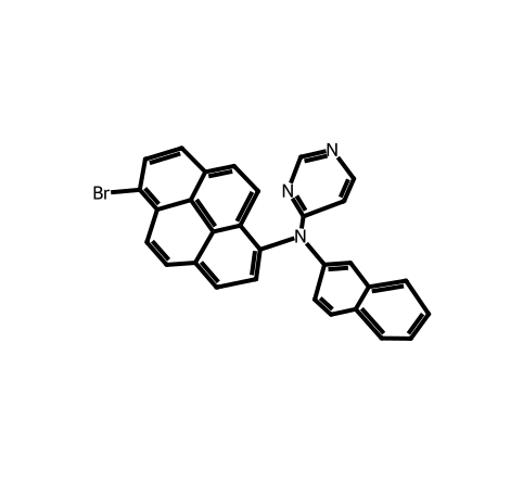 Brc1ccc2ccc3c(N(c4ccc5ccccc5c4)c4ccncn4)ccc4ccc1c2c43